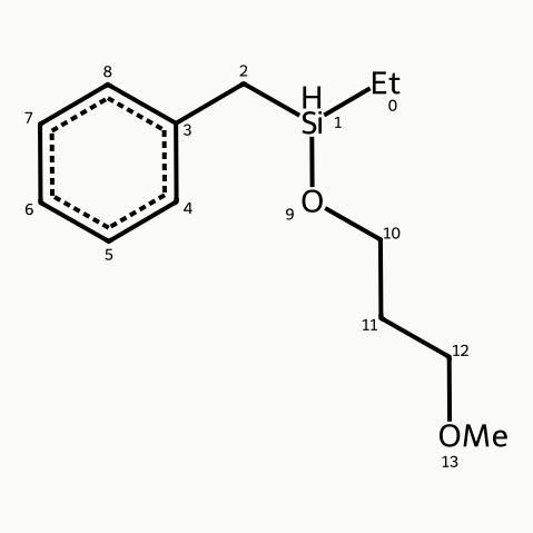 CC[SiH](Cc1ccccc1)OCCCOC